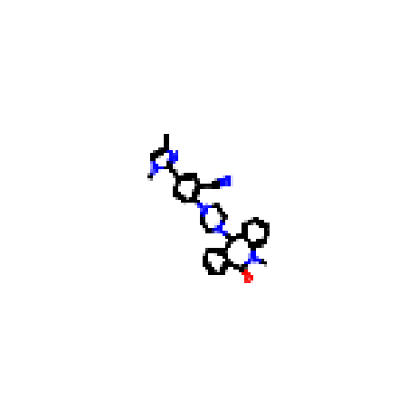 Cc1cn(C)c(-c2ccc(N3CCN(C4c5ccccc5C(=O)N(C)c5ccccc54)CC3)c(C#N)c2)n1